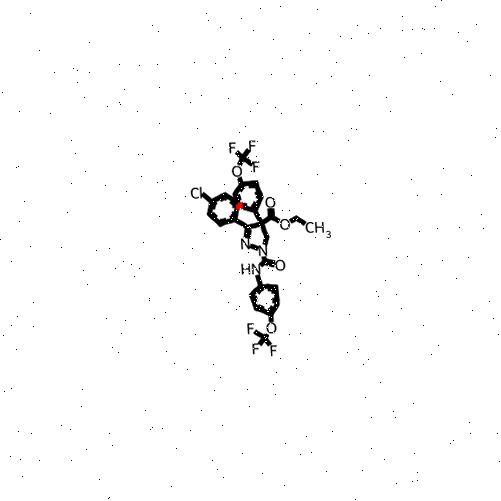 CCOC(=O)C1(c2ccc(OC(F)(F)F)cc2)CN(C(=O)Nc2ccc(OC(F)(F)F)cc2)N=C1c1ccc(Cl)cc1